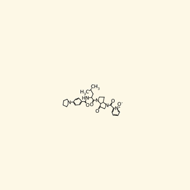 CC(C)CC(NC(=O)c1ccc(N2CCCC2)cc1)C(=O)N1CCC2C1C(=O)CN2C(=O)c1cccc[n+]1[O-]